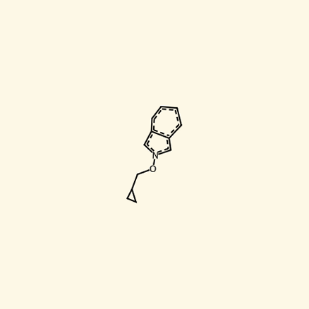 c1ccc2cn(OCC3CC3)cc2c1